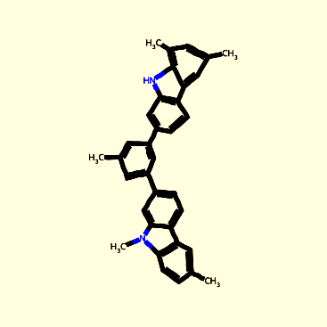 Cc1cc(-c2ccc3c(c2)[nH]c2c(C)cc(C)cc23)cc(-c2ccc3c4cc(C)ccc4n(C)c3c2)c1